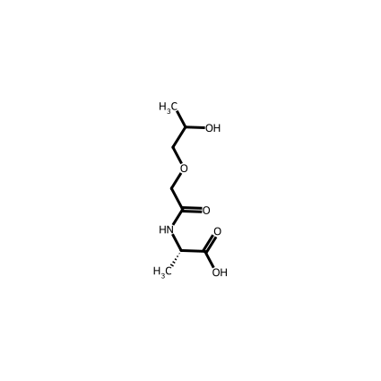 CC(O)COCC(=O)N[C@@H](C)C(=O)O